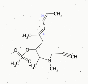 C#CCN(C)C(C)C(C/C(C)=C/C=C\C)OS(C)(=O)=O